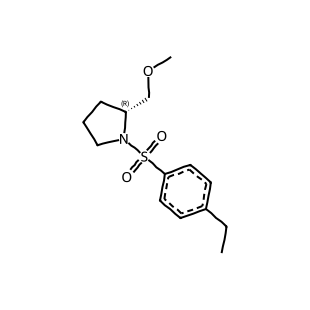 CCc1ccc(S(=O)(=O)N2CCC[C@@H]2COC)cc1